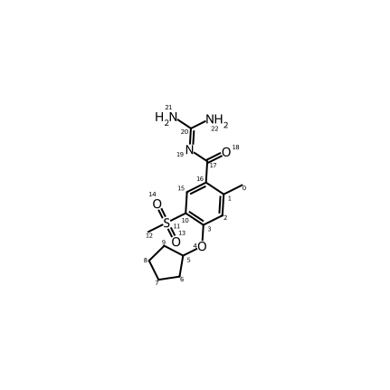 Cc1cc(OC2CCCC2)c(S(C)(=O)=O)cc1C(=O)N=C(N)N